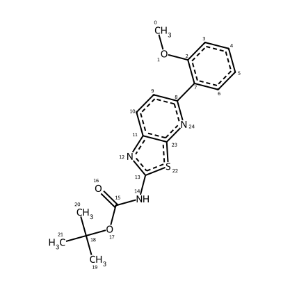 COc1ccccc1-c1ccc2nc(NC(=O)OC(C)(C)C)sc2n1